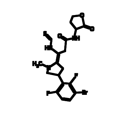 CN1CC(c2c(F)ccc(Br)c2F)C/C1=C(\CC(=O)NC1CCOC1=O)NC=S